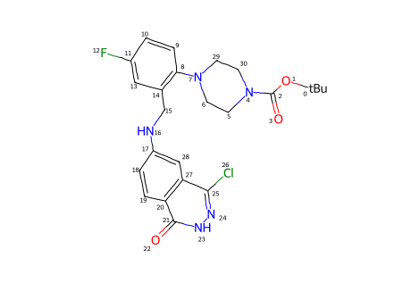 CC(C)(C)OC(=O)N1CCN(c2ccc(F)cc2CNc2ccc3c(=O)[nH]nc(Cl)c3c2)CC1